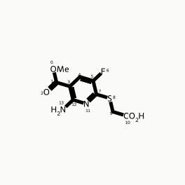 COC(=O)c1cc(F)c(SCC(=O)O)nc1N